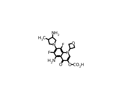 CC1CN(c2c(F)c(N)c3c(=O)c(OC(=O)O)cn(C4COC4)c3c2F)CC1N